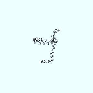 CCCCCCCC/C=C\CCCCCCCCC1(CCCCCCCC/C=C\CCCCCCCC)OC[C@H](CCCO)O1